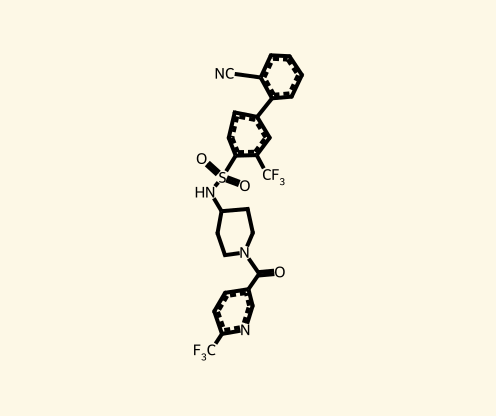 N#Cc1ccccc1-c1ccc(S(=O)(=O)NC2CCN(C(=O)c3ccc(C(F)(F)F)nc3)CC2)c(C(F)(F)F)c1